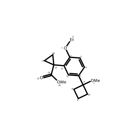 CCOc1ccc(C2(OC)CCC2)cc1C1(C(=O)OC)CC1